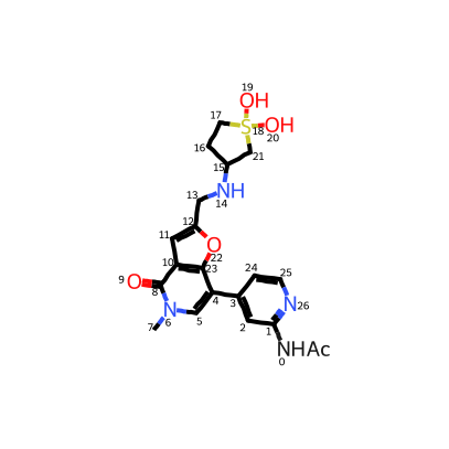 CC(=O)Nc1cc(-c2cn(C)c(=O)c3cc(CNC4CCS(O)(O)C4)oc23)ccn1